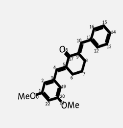 COc1cc(C=C2CCCC(=Cc3ccccc3)C2=O)cc(OC)c1